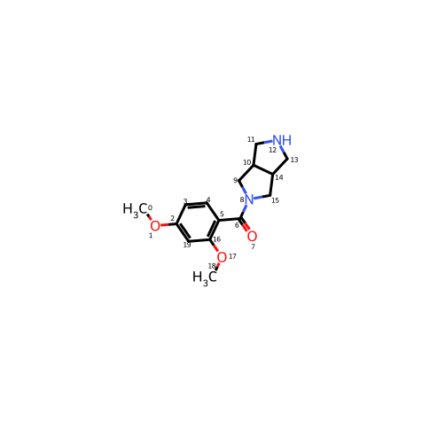 COc1ccc(C(=O)N2CC3CNCC3C2)c(OC)c1